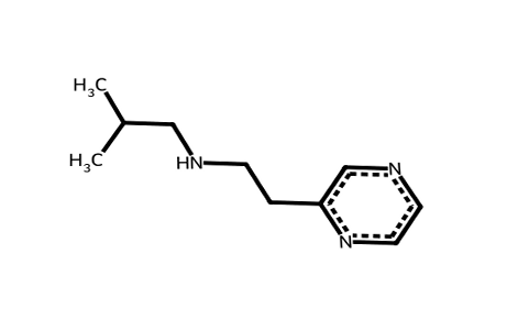 CC(C)CNCCc1cnccn1